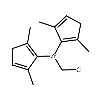 CC1=CCC(C)=[C]1[Zr]([CH2]Cl)[C]1=C(C)CC=C1C